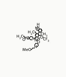 C=CC(=O)N1CC2(CCN(c3nc(OC4CCN(CCCOC)CC4)nc4c(COCC(F)(F)F)c(-c5c(C)ccc6[nH]ncc56)c(C=C)cc34)CC2)C1